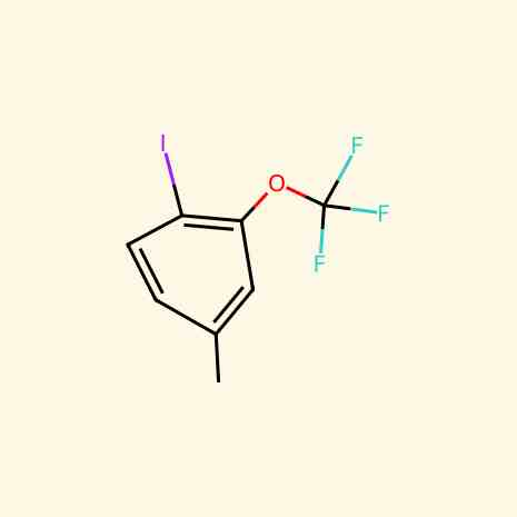 Cc1ccc(I)c(OC(F)(F)F)c1